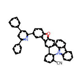 N#Cc1cccc(-c2ccc3oc4ccc(-c5cc(-c6ccccc6)cc(-c6ccccc6)n5)cc4c3c2)c1-n1c2ccccc2c2ccccc21